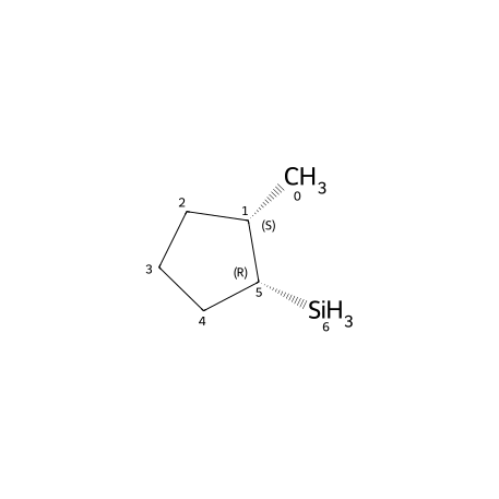 C[C@H]1CCC[C@H]1[SiH3]